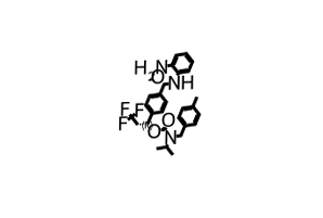 Cc1ccc(CN(C(=O)O[C@H](CC(F)(F)F)c2ccc(C(=O)Nc3ccccc3N)cc2)C(C)C)cc1